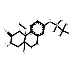 CC[C@@]12CC(=O)[C@@H](O)C[C@H]1CCc1cc(O[Si](C)(C)C(C)(C)C)ccc12